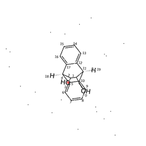 OC1C(O)[C@H]2c3ccccc3[C@@H]1c1ccccc12